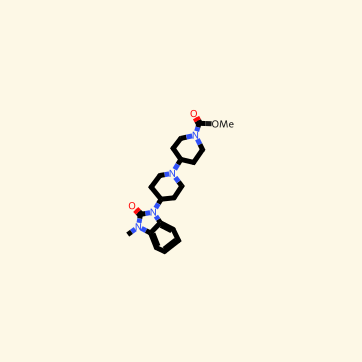 COC(=O)N1CCC(N2CCC(n3c(=O)n(C)c4ccccc43)CC2)CC1